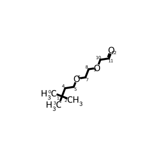 CC(C)(C)CCOCCOCC=O